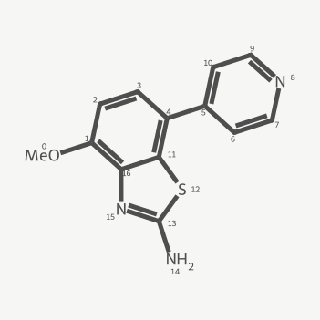 COc1ccc(-c2ccncc2)c2sc(N)nc12